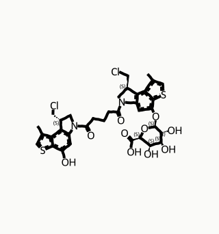 Cc1csc2c(O)cc3c(c12)[C@H](CCl)CN3C(=O)CCCC(=O)N1C[C@@H](CCl)c2c1cc(O[C@@H]1O[C@H](C(=O)O)[C@@H](O)[C@H](O)[C@H]1O)c1scc(C)c21